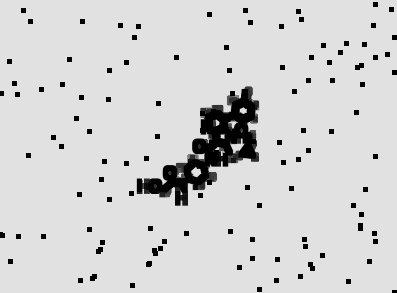 Cc1ccc(OCC2CC2)c(-c2ccnc3c(C(=O)N[C@H]4CC[C@@H](NC(=O)CO)CC4)c(C)[nH]c23)c1